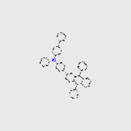 c1ccc(-c2ccc(N(c3ccccc3)c3ccc(-c4ccc5c(-c6ccccc6)c6ccccc6c(-c6ccccc6)c5c4)cc3)cc2)cc1